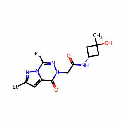 CCc1cc2c(=O)n(CC(=O)N[C@H]3C[C@@](C)(O)C3)nc(C(C)C)n2n1